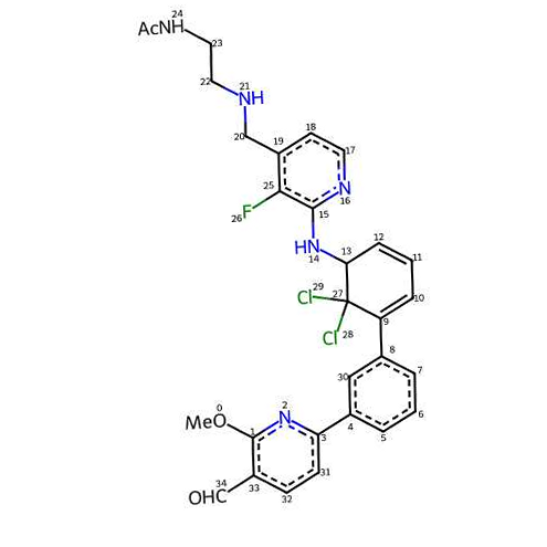 COc1nc(-c2cccc(C3=CC=CC(Nc4nccc(CNCCNC(C)=O)c4F)C3(Cl)Cl)c2)ccc1C=O